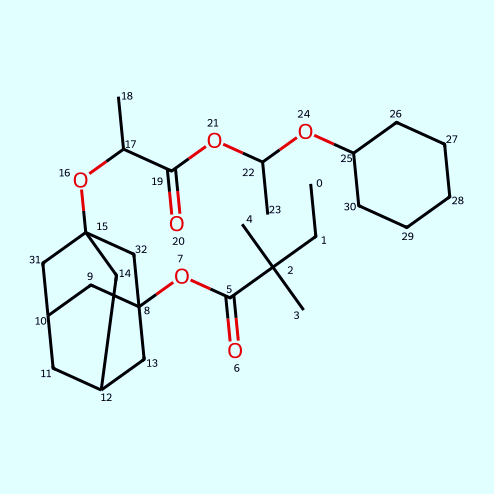 CCC(C)(C)C(=O)OC12CC3CC(C1)CC(OC(C)C(=O)OC(C)OC1CCCCC1)(C3)C2